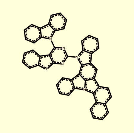 c1ccc2c(c1)ccc1c3cc4c5ccccc5n(-c5nc(-n6c7ccccc7c7ccccc76)c6c(n5)sc5ccccc56)c4c4c5ccccc5n(c21)c34